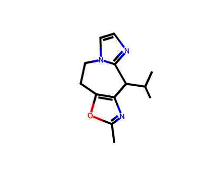 Cc1nc2c(o1)CCn1ccnc1C2C(C)C